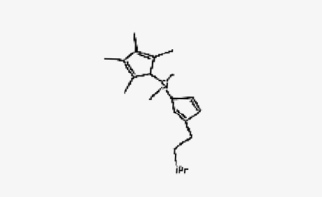 CC1=C(C)C([Si](C)(C)C2C=CC(CCC(C)C)=C2)C(C)=C1C